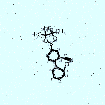 CC1(C)OB(c2ccc(-c3ccccc3Cl)c(C#N)c2)OC1(C)C